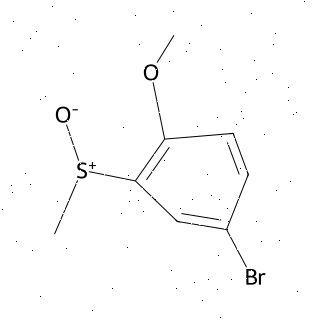 COc1ccc(Br)cc1[S+](C)[O-]